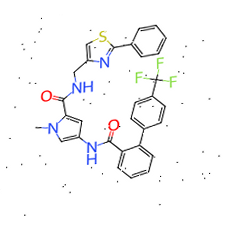 Cn1cc(NC(=O)c2ccccc2-c2ccc(C(F)(F)F)cc2)cc1C(=O)NCc1csc(-c2ccccc2)n1